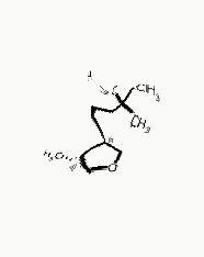 C[C@H]1COC[C@@H]1CC(C)(C)C